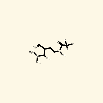 C=CC(CCN(C)C(=O)C(F)(F)F)[C](C)N(C)C